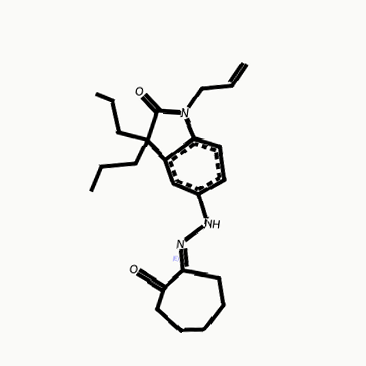 C=CCN1C(=O)C(CCC)(CCC)c2cc(N/N=C3\CCCCCC3=O)ccc21